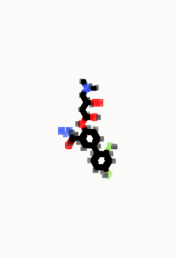 CN(C)CC(O)CC(=O)Oc1ccc(-c2ccc(F)cc2F)cc1C(N)=O